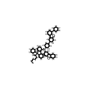 C=C(/C=C\C=C/C)C1(c2ccccc2)c2ccccc2-c2c(N(c3ccc(-c4ccc5oc6c(-c7ccccc7)cccc6c5c4)cc3)c3ccc4oc5ccccc5c4c3)cccc21